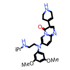 COc1cc(OC)cc(N(CCNC(C)C)c2ccc3ncc(C4=CCNCC4)c(=O)n3c2)c1